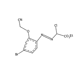 CCOC(=O)C(Cl)/N=N/c1ccc(Br)cc1OCC#N